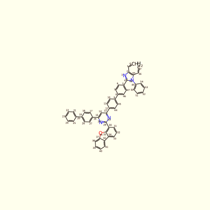 C=Cc1nc(-c2ccc(-c3ccc(-c4cc(-c5ccc(-c6ccccc6)cc5)nc(-c5cccc6c5oc5ccccc56)n4)cc3)cc2)n(-c2ccccc2)c1C=C